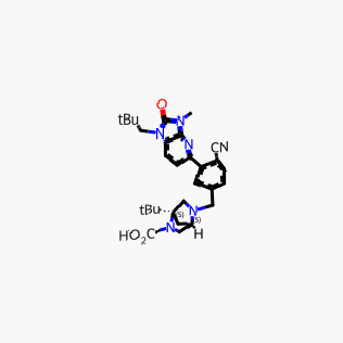 Cn1c(=O)n(CC(C)(C)C)c2ccc(-c3cc(CN4C[C@@]5(C(C)(C)C)C[C@H]4CN5C(=O)O)ccc3C#N)nc21